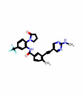 CNc1ncc(C#Cc2cc(C(=O)Nc3cc(C(F)(F)F)ccc3N3CCCC3=O)ccc2C)cn1